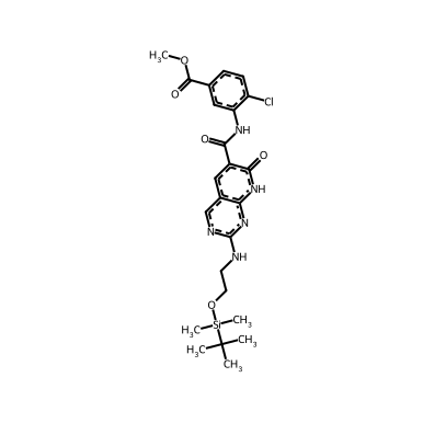 COC(=O)c1ccc(Cl)c(NC(=O)c2cc3cnc(NCCO[Si](C)(C)C(C)(C)C)nc3[nH]c2=O)c1